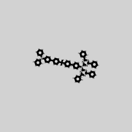 CC(C)(c1ccc(-c2ccc(N(c3ccccc3)c3ccccc3)cc2)cc1)c1ccc(-c2ccc(N(c3nc(-c4ccccc4)nc(-c4ccccc4)n3)c3nc(-c4ccccc4)nc(-c4ccccc4)n3)cc2)cc1